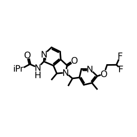 Cc1cc(C(C)N2C(=O)c3ccnc(NC(=O)C(C)C)c3C2C)cnc1OCC(F)F